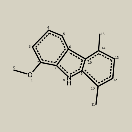 COc1cccc2c1[nH]c1c(C)ccc(C)c12